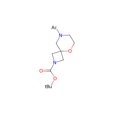 CC(=O)N1CCOC2(C1)CN(C(=O)OC(C)(C)C)C2